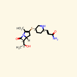 C[C@@H](O)[C@H]1C(=O)N2C(C(=O)O)=C(S[C@H]3CC[C@H](C=CC(N)=O)NC3)C[C@H]12